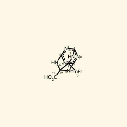 CCCC1Nc2nc3nc(n2)NC1(C(=O)O)N3